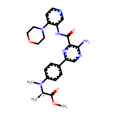 COC(=O)[C@@H](C)N(C)c1ccc(-c2cnc(N)c(C(=O)Nc3cnccc3N3CCOCC3)n2)cc1